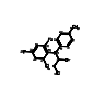 Cc1ccc(N(C(=O)CCl)c2c(F)cc(F)cc2Cl)cc1